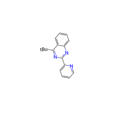 CC(C)(C)c1nc(-c2ccccn2)nc2ccccc12